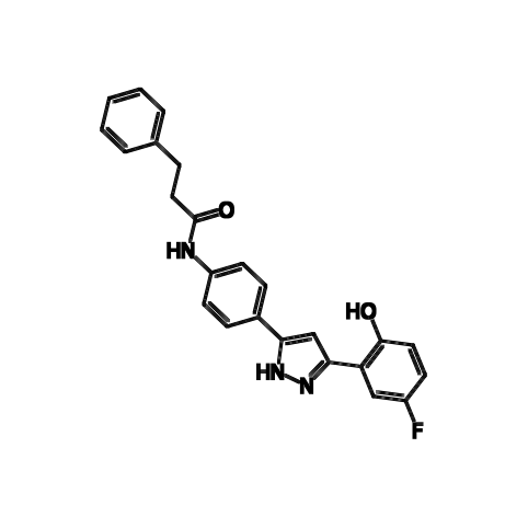 O=C(CCc1ccccc1)Nc1ccc(-c2cc(-c3cc(F)ccc3O)n[nH]2)cc1